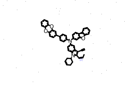 C#Cc1c(/C=C\C)n(C2CC=CCC2)c2ccc(N(c3ccc(-c4ccc5c(c4)Oc4ccccc4O5)cc3)c3ccc4c(c3)oc3ccccc34)cc12